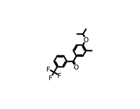 Cc1cc(C(=O)c2cccc(C(F)(F)F)c2)ccc1OC(C)C